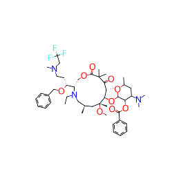 CCN1C[C@H](C)C[C@@](C)(OC)[C@H](OC2OC(C)CC(N(C)C)C2OC(=O)c2ccccc2)[C@@H](C)C(=O)C(C)(C)C(=O)OC[C@H]1[C@@H](CCN(C)CC(F)(F)F)OCc1ccccc1